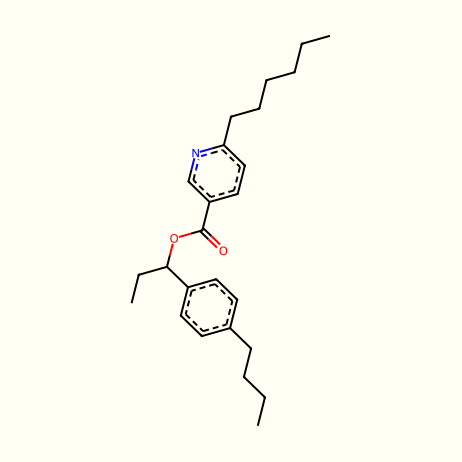 CCCCCCc1ccc(C(=O)OC(CC)c2ccc(CCCC)cc2)cn1